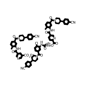 CCCC(=O)Nc1cc(C(=O)N2CCC(c3ccc(C#N)cc3)CC2)ccc1Cl.CCOC(=O)c1cncc(C(=O)Nc2cc(C(=O)N3CCC(c4ccc(C#N)cc4)CC3)ccc2C)c1.COC(=O)c1ccc(C(=O)Nc2cc(C(=O)N3CCC(c4ccc(C#N)cc4)CC3)ccc2C)cn1